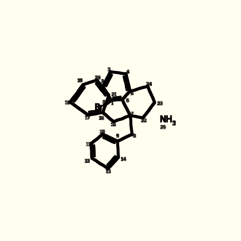 Brc1cccc2c1C(Cc1ccccc1)(Cc1ccccc1)CCC2.N